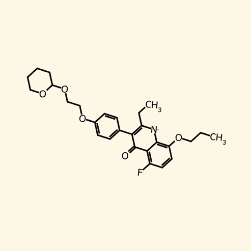 CCCOc1ccc(F)c2c1[N]C(CC)=C(c1ccc(OCCOC3CCCCO3)cc1)C2=O